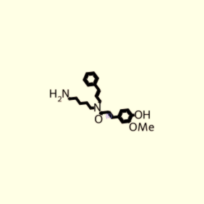 COc1cc(/C=C/C(=O)N(CC=Cc2ccccc2)CCCCCN)ccc1O